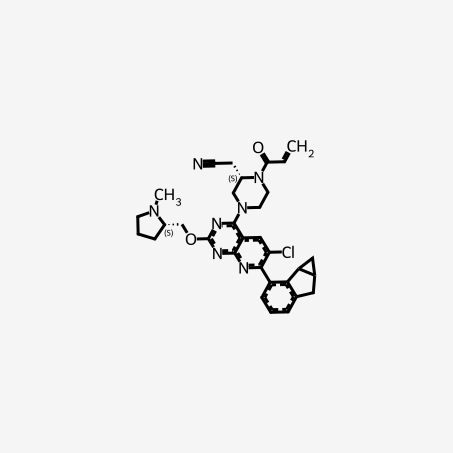 C=CC(=O)N1CCN(c2nc(OC[C@@H]3CCCN3C)nc3nc(-c4cccc5c4C4CC4C5)c(Cl)cc23)C[C@@H]1CC#N